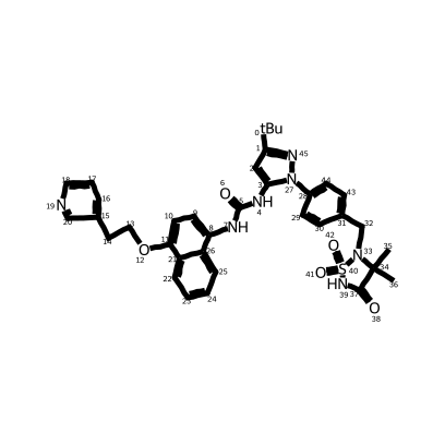 CC(C)(C)c1cc(NC(=O)Nc2ccc(OCCc3cccnc3)c3ccccc23)n(-c2ccc(CN3C(C)(C)C(=O)NS3(=O)=O)cc2)n1